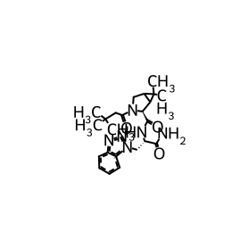 CC(C)(C)CC(=O)N1CC2C([C@H]1C(=O)N[C@@H](Cn1nnc3ccccc31)C(N)=O)C2(C)C